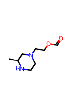 C[C@H]1CN(CCOC=O)CCN1